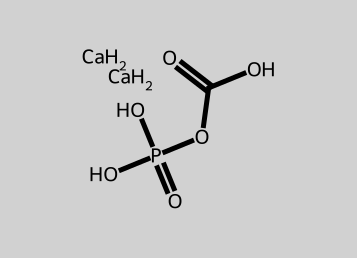 O=C(O)OP(=O)(O)O.[CaH2].[CaH2]